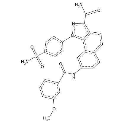 COc1cccc(C(=O)Nc2ccc3ccc4c(C(N)=O)nn(-c5ccc(S(N)(=O)=O)cc5)c4c3c2)c1